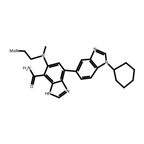 CNCCN(C)c1cc(-c2ccc3c(c2)ncn3C2CCCCC2)c2nc[nH]c2c1C(N)=O